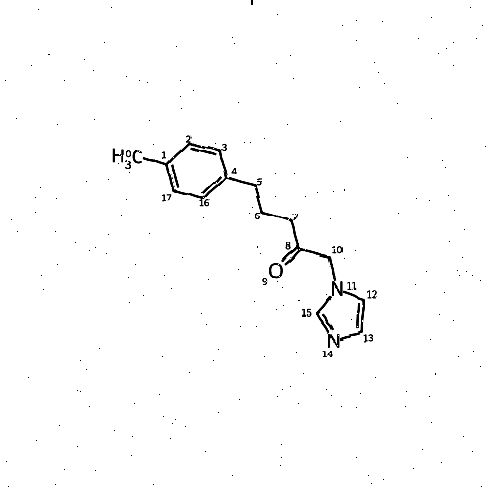 Cc1ccc(CCCC(=O)Cn2ccnc2)cc1